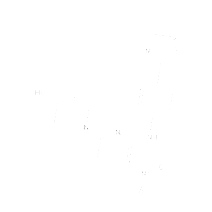 Cc1nc(-c2ccc(Nc3nc(N4CCC(O)CC4)ccc3[N+](=O)[O-])cc2)cs1